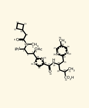 CC(=O)OC(CC(C(C)C)N(C)C(=O)CC1CCC1)c1nc(C(=O)NC(Cc2ncc(C)cn2)CC(C)C(=O)O)cs1